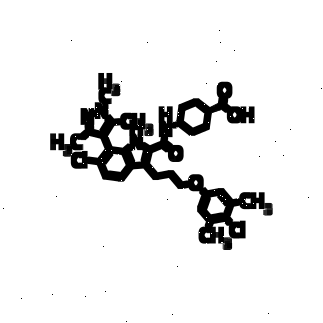 Cc1cc(OCCCc2c(C(=O)N[C@H]3CC[C@H](C(=O)O)CC3)[nH]c3c(-c4c(C)nn(C)c4C)c(Cl)ccc23)cc(C)c1Cl